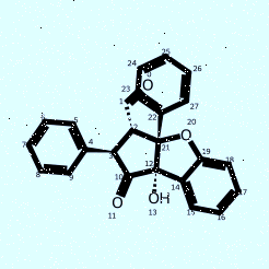 O=C[C@H]1[C@H](c2ccccc2)C(=O)[C@]2(O)c3ccccc3O[C@@]12c1ccccc1